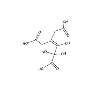 O=C(O)CC(CC(=O)O)=C(O)C(O)(O)C(=O)O